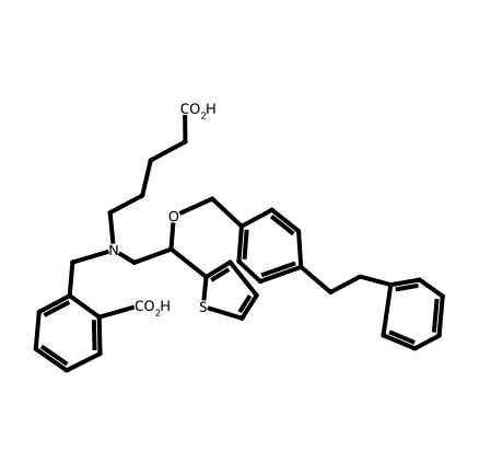 O=C(O)CCCCN(Cc1ccccc1C(=O)O)CC(OCc1ccc(CCc2ccccc2)cc1)c1cccs1